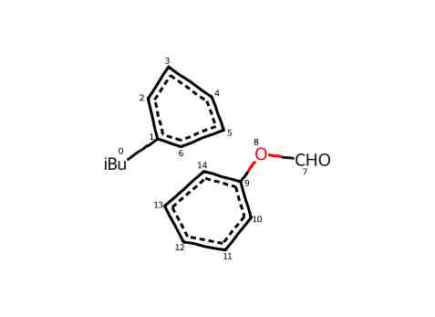 CCC(C)c1ccccc1.O=COc1ccccc1